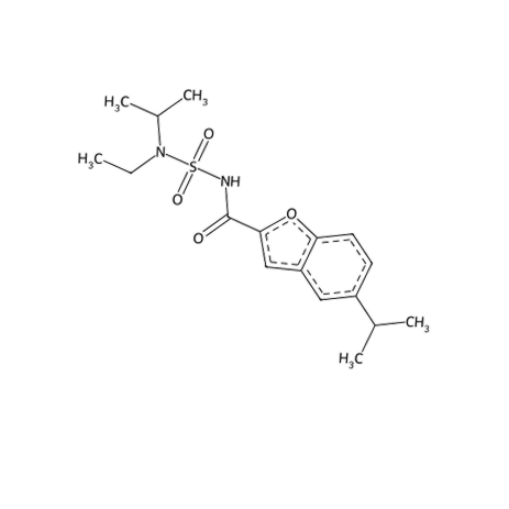 CCN(C(C)C)S(=O)(=O)NC(=O)c1cc2cc(C(C)C)ccc2o1